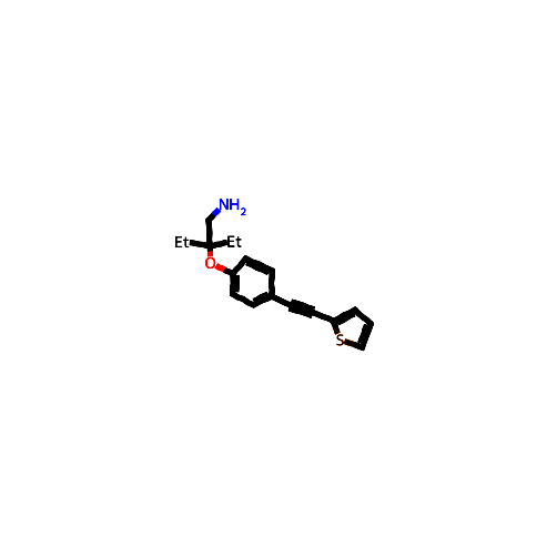 CCC(CC)(CN)Oc1ccc(C#Cc2cccs2)cc1